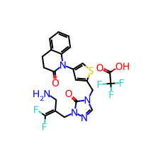 NCC(Cn1ncn(Cc2cc(N3C(=O)CCc4ccccc43)cs2)c1=O)=C(F)F.O=C(O)C(F)(F)F